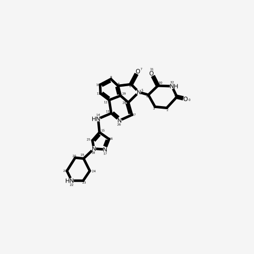 O=C1CCC(N2C(=O)c3cccc4c(Nc5cnn(C6CCNCC6)c5)ncc2c34)C(=O)N1